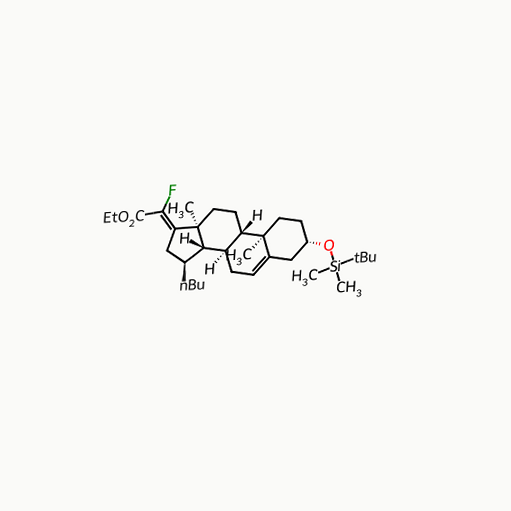 CCCC[C@H]1CC(=C(F)C(=O)OCC)[C@@]2(C)CC[C@H]3[C@@H](CC=C4C[C@@H](O[Si](C)(C)C(C)(C)C)CC[C@@]43C)[C@H]12